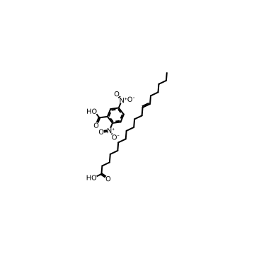 CCCCCC=CCCCCCCCCCCC(=O)O.O=C(O)c1cc([N+](=O)[O-])ccc1[N+](=O)[O-]